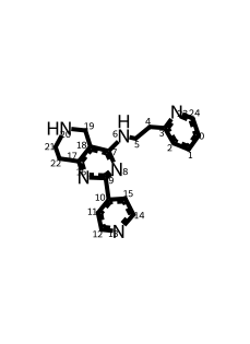 c1ccc(CCNc2nc(-c3ccncc3)nc3c2CNCC3)nc1